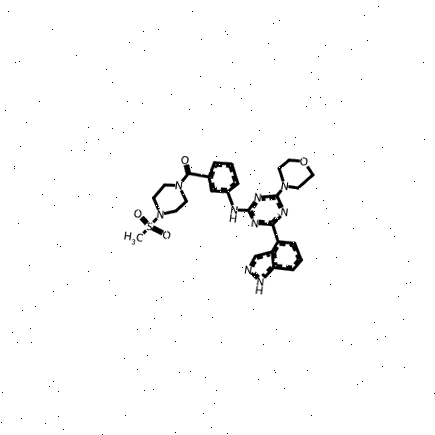 CS(=O)(=O)N1CCN(C(=O)c2cccc(Nc3nc(-c4cccc5[nH]ncc45)nc(N4CCOCC4)n3)c2)CC1